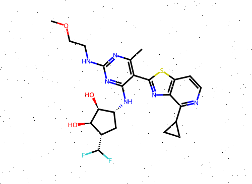 COCCNc1nc(C)c(-c2nc3c(C4CC4)nccc3s2)c(N[C@@H]2C[C@H](C(F)F)[C@@H](O)[C@H]2O)n1